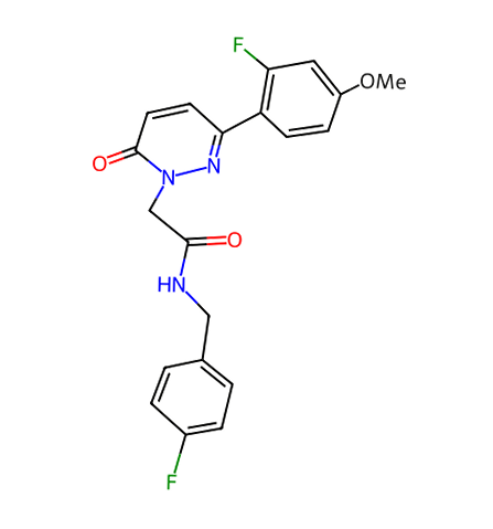 COc1ccc(-c2ccc(=O)n(CC(=O)NCc3ccc(F)cc3)n2)c(F)c1